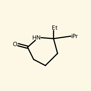 CCC1(C(C)C)CCCC(=O)N1